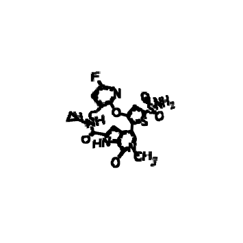 Cc1cc(F)cnc1Oc1cc(S(N)(=O)=O)sc1-c1cn(C)c(=O)c2[nH]c(C(=O)NC3CC3)cc12